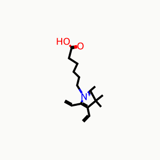 C=CC1=C(C=C)C(C)(C)C(C)=[N+]1CCCCCC(=O)O